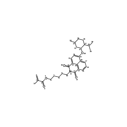 C=C(C)C(=O)OCCCCCN1C(=O)c2cccc3c(OC4CC(C)CCC4C(C)C)ccc(c23)C1=O